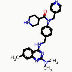 Cc1ccc2c(NCc3ccc(N(Cc4ccncc4)C(=O)C4CCNCC4)cc3)nc(N(C)C)nc2c1